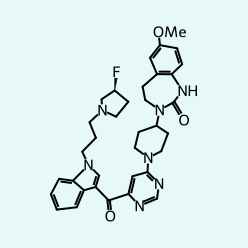 COc1ccc2c(c1)CCN(C1CCN(c3cc(C(=O)c4cn(CCCN5CC[C@H](F)C5)c5ccccc45)ncn3)CC1)C(=O)N2